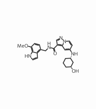 COc1ccc(CNC(=O)c2cnn3ccc(N[C@H]4CCC[C@H](O)C4)cc23)c2cc[nH]c12